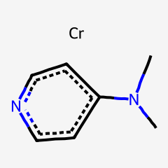 CN(C)c1ccncc1.[Cr]